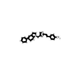 FC(F)(F)c1ccc(C=Cc2nc(Cn3ccc4cc(-c5ccccc5)ccc43)co2)cc1